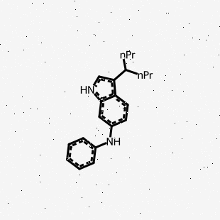 CCCC(CCC)c1c[nH]c2cc(Nc3ccccc3)ccc12